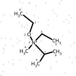 CCO[N+](C)(CC)C(C)C